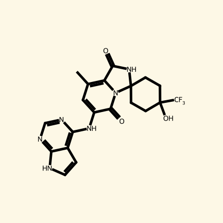 Cc1cc(Nc2ncnc3[nH]ccc23)c(=O)n2c1C(=O)NC21CCC(O)(C(F)(F)F)CC1